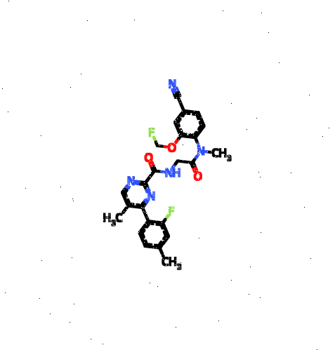 Cc1ccc(-c2nc(C(=O)NCC(=O)N(C)c3ccc(C#N)cc3OCF)ncc2C)c(F)c1